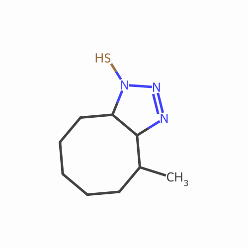 CC1CCCCCC2C1N=NN2S